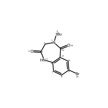 CC(C)(C)N1CC(=O)Nc2ccc(Br)cc2C1=O